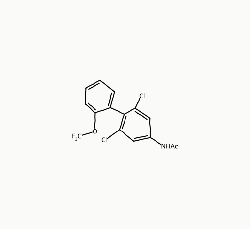 CC(=O)Nc1cc(Cl)c(-c2ccccc2OC(F)(F)F)c(Cl)c1